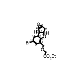 CCOC(=O)COCC1=C2O[C@@H]3CC4=C(O4)[C@@H]3C2CC(Br)=C1